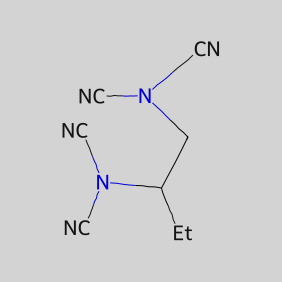 CCC(CN(C#N)C#N)N(C#N)C#N